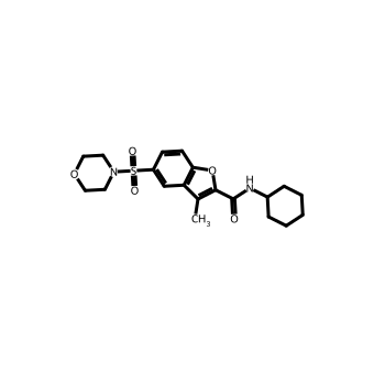 Cc1c(C(=O)NC2CCCCC2)oc2ccc(S(=O)(=O)N3CCOCC3)cc12